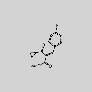 COC(=O)/C(=C/c1ccc(F)cc1)C(=O)C1CC1